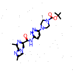 Cc1cn2cc(C(=O)Nc3ccc(N4CCN(C(=O)OC(C)(C)C)[C@@H](C)C4)nn3)nc(C)c2n1